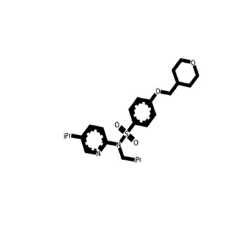 CC(C)CN(c1ccc(C(C)C)cn1)S(=O)(=O)c1ccc(OCC2CCOCC2)cc1